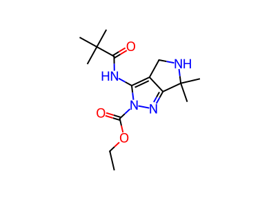 CCOC(=O)n1nc2c(c1NC(=O)C(C)(C)C)CNC2(C)C